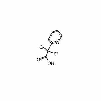 O=C(O)C(Cl)(Cl)c1ccccn1